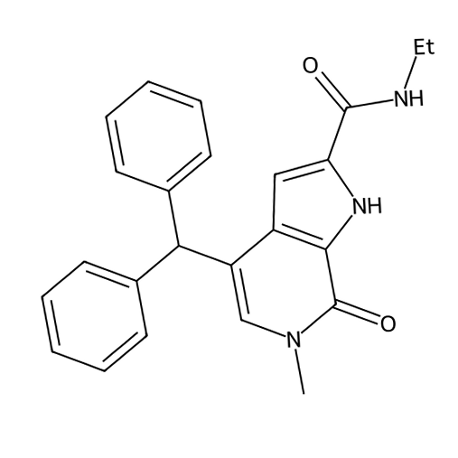 CCNC(=O)c1cc2c(C(c3ccccc3)c3ccccc3)cn(C)c(=O)c2[nH]1